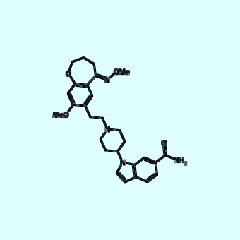 CON=C1CCCOc2cc(OC)c(CCN3CCC(n4ccc5ccc(C(N)=O)cc54)CC3)cc21